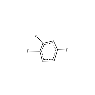 Fc1ccc(F)c([S])c1